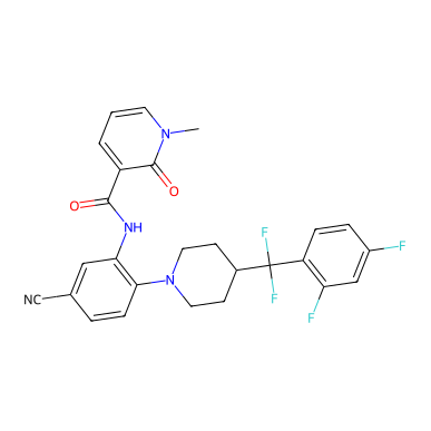 Cn1cccc(C(=O)Nc2cc(C#N)ccc2N2CCC(C(F)(F)c3ccc(F)cc3F)CC2)c1=O